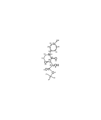 CC(C)(C)OC(=O)[C@H](O)[C@H]1OCCN(c2ccc(I)cc2)C1=O